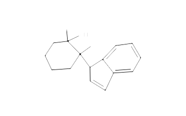 CC1(C)CCCCC1(C)C1C=Cc2ccccc21